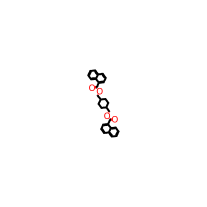 O=C(OCC1CCC(COC(=O)c2cccc3ccccc23)CC1)c1cccc2ccccc12